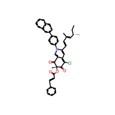 CC[C@H](C)/C=C(C)/C=C/C1=CC2=C(Cl)C(=O)[C@](C)(OC(=O)C=Cc3ccccc3)C(=O)C2=CN1c1ccc(-c2ccc3ccccc3c2)cc1